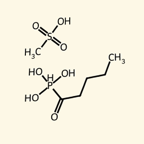 CCCCC(=O)[PH](O)(O)O.CS(=O)(=O)O